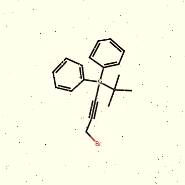 CC(C)(C)[Si](C#CCBr)(c1ccccc1)c1ccccc1